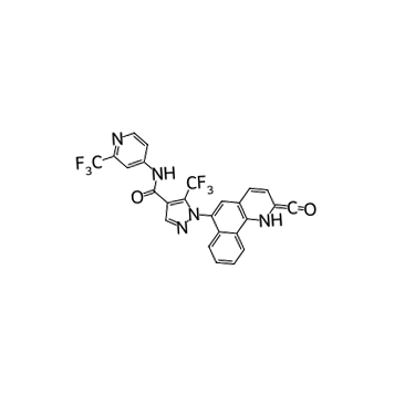 O=C=C1C=Cc2cc(-n3ncc(C(=O)Nc4ccnc(C(F)(F)F)c4)c3C(F)(F)F)c3ccccc3c2N1